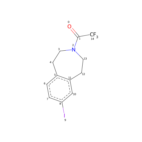 O=C(N1CCc2ccc(I)cc2CC1)C(F)(F)F